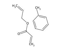 C=CCOC(=O)C=C.Cc1ccccc1